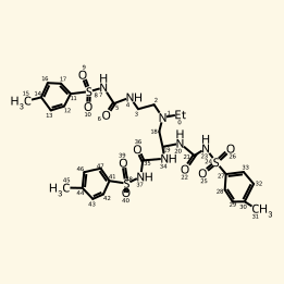 CCN(CCNC(=O)NS(=O)(=O)c1ccc(C)cc1)CC(NC(=O)NS(=O)(=O)c1ccc(C)cc1)NC(=O)NS(=O)(=O)c1ccc(C)cc1